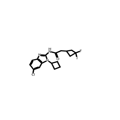 O=C(CC1CC(F)(I)C1)Nc1nc2ccc(Cl)cc2n1C1CCC1